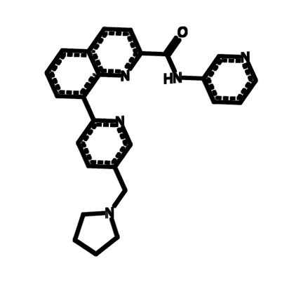 O=C(Nc1cccnc1)c1ccc2cccc(-c3ccc(CN4CCCC4)cn3)c2n1